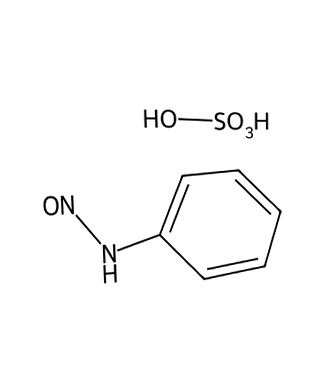 O=NNc1ccccc1.O=S(=O)(O)O